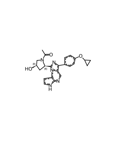 CC(=O)N1C[C@H](O)C[C@@H]1c1nc(-c2ccc(OC3CC3)cc2)c2cnc3[nH]ccc3n12